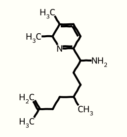 C=C(C)CCC(C)CCC(N)C1=NC(C)C(C)=C=C1